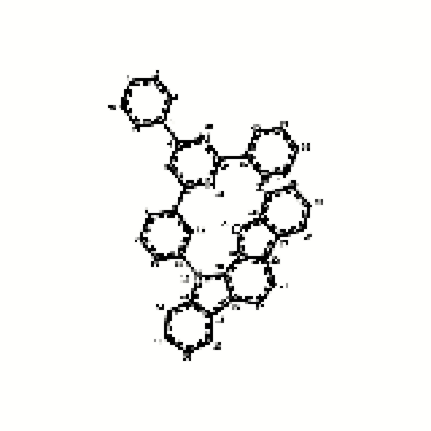 c1ccc(-c2cc(-c3cccc(-n4c5ccccc5c5ccc6c7ccccc7oc6c54)c3)nc(-c3ccccc3)n2)cc1